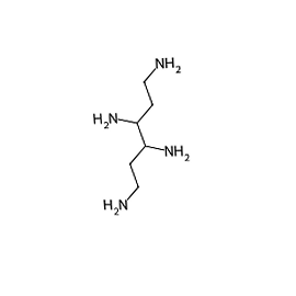 NCCC(N)C(N)CCN